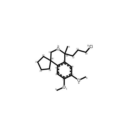 COc1cc2c(cc1OC)C(C)(CCCCl)OCC21CCCC1